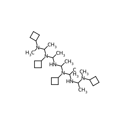 CC(NC(C)N(C1CCC1)C(C)NC(C)N(C1CCC1)C(C)N(C)C1CCC1)N(C)C1CCC1